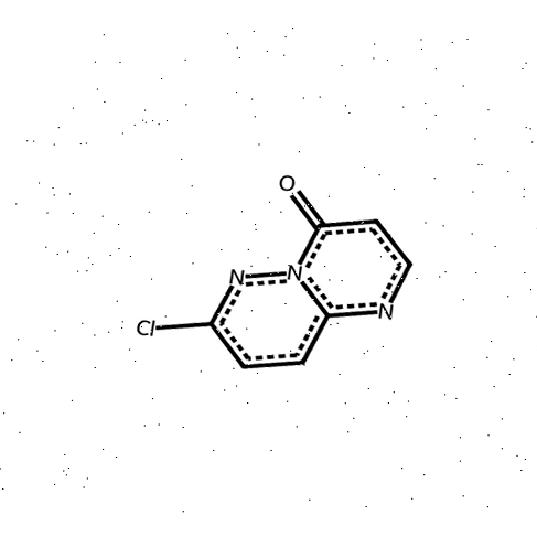 O=c1ccnc2ccc(Cl)nn12